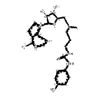 CN(CCCNC(=O)Nc1ccc(C(C)(C)C)cc1)CC1OC(n2ccc3c(N)ncnc32)[C@H](O)[C@@H]1O